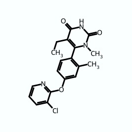 CCc1c(-c2ccc(Oc3ncccc3Cl)cc2C)n(C)c(=O)[nH]c1=O